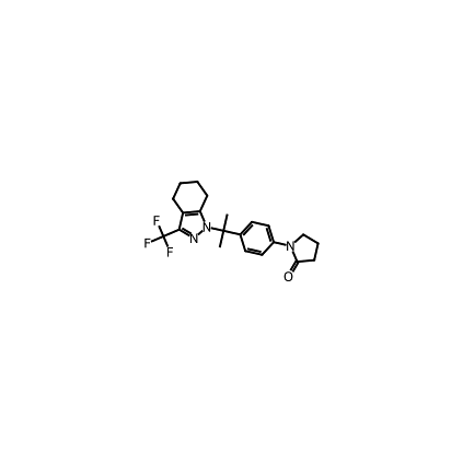 CC(C)(c1ccc(N2CCCC2=O)cc1)n1nc(C(F)(F)F)c2c1CCCC2